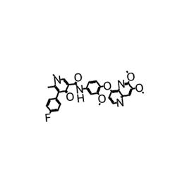 COc1cc(NC(=O)c2cn(C)c(C)c(-c3ccc(F)cc3)c2=O)ccc1Oc1ccnc2cc(OC)c(OC)nc12